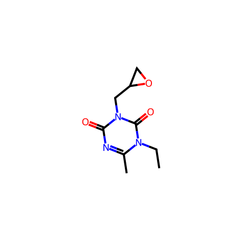 CCn1c(C)nc(=O)n(CC2CO2)c1=O